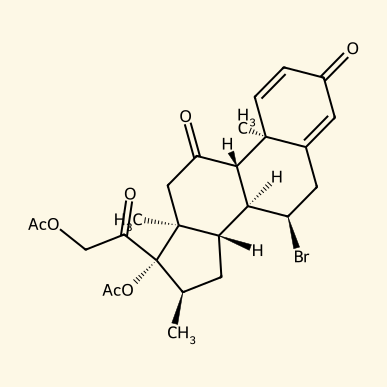 CC(=O)OCC(=O)[C@]1(OC(C)=O)[C@H](C)C[C@H]2[C@@H]3[C@H](Br)CC4=CC(=O)C=C[C@]4(C)[C@H]3C(=O)C[C@@]21C